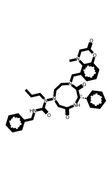 CCCN(C(=O)NCc1ccccc1)N1CCN(Cc2cccc3c2N(C)CC(=O)O3)C(=O)[C@H](c2ccccc2)NC(=O)C1